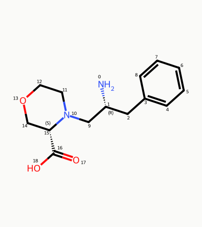 N[C@H](Cc1ccccc1)CN1CCOC[C@H]1C(=O)O